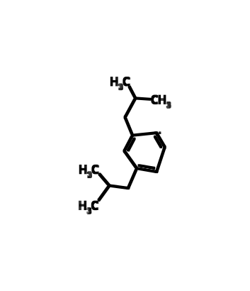 CC(C)Cc1[c]ccc(CC(C)C)c1